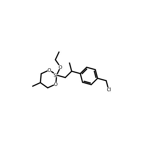 CCO[Si]1(CC(C)c2ccc(CCl)cc2)OCC(C)CO1